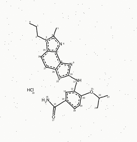 CCCn1c(C)nc2c3nc(Nc4cc(C(N)=O)ccc4OC(C)C)sc3ccc21.Cl